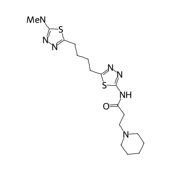 CNc1nnc(CCCCc2nnc(NC(=O)CCN3CCCCC3)s2)s1